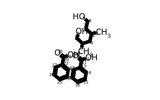 CC(CO)CC(C)CCO.O=C(O)c1ccccc1.O=C(O)c1ccccc1